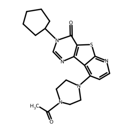 CC(=O)N1CCN(c2ccnc3sc4c(=O)n(C5CCCCC5)cnc4c23)CC1